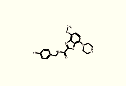 COc1ccc(N2CCOCC2)c2sc(C(=O)NCc3ccc(Cl)cc3)nc12